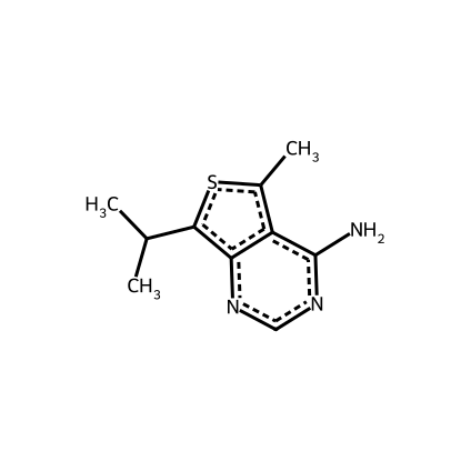 Cc1sc(C(C)C)c2ncnc(N)c12